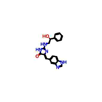 O=C1NC(NC[C@@H](O)c2ccccc2)=N/C1=C\c1ccc2[nH]cnc2c1